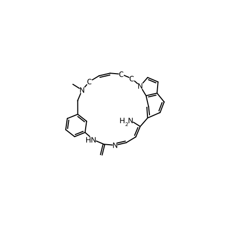 C=C1/N=C\C=C(/N)c2ccc3ccn(c3c2)CC/C=C\CN(C)Cc2cccc(c2)N1